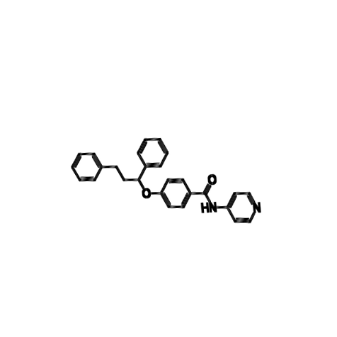 O=C(Nc1ccncc1)c1ccc(OC(CCc2ccccc2)c2ccccc2)cc1